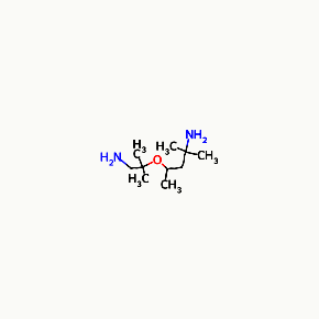 CC(CC(C)(C)N)OC(C)(C)CN